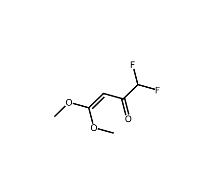 COC(=CC(=O)C(F)F)OC